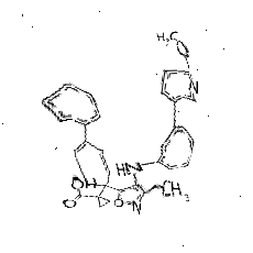 COc1ccc(-c2cccc(Nc3c(C)noc3C3(C4(C(=O)O)CC4)C=CC(c4ccccc4)=CC3)c2)cn1